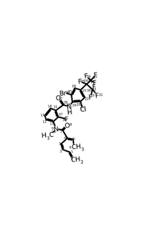 C=C/C=C\C(=C/C)C(=O)N(C)c1cccc(C(=O)Nc2c(Cl)cc(C(F)(C(F)(F)F)C(F)(F)F)cc2Br)c1F